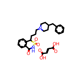 O=C(O)C=CC(=O)O.O=C1NS(=O)(=O)C(CCCN2CCC(Cc3ccccc3)CC2)c2ccccc21